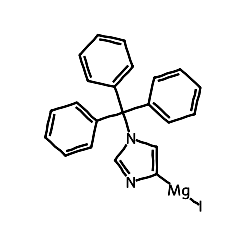 [I][Mg][c]1cn(C(c2ccccc2)(c2ccccc2)c2ccccc2)cn1